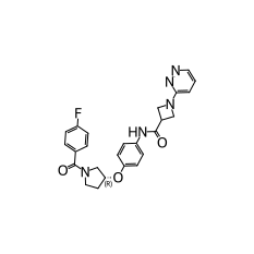 O=C(Nc1ccc(O[C@@H]2CCN(C(=O)c3ccc(F)cc3)C2)cc1)C1CN(c2cccnn2)C1